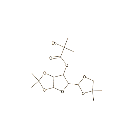 CCC(C)(C)C(=O)OC1C(C2OCC(C)(C)O2)OC2OC(C)(C)OC21